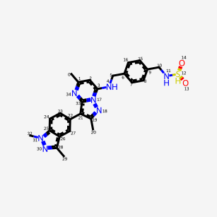 Cc1cc(NCc2ccc(CN[SH](=O)=O)cc2)n2nc(C)c(-c3ccc4c(c3)c(C)nn4C)c2n1